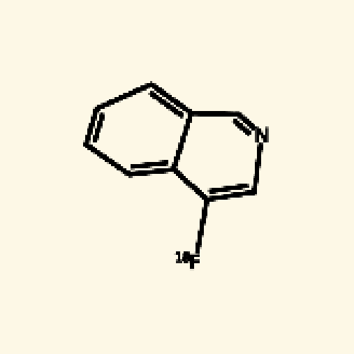 [18F]c1cncc2ccccc12